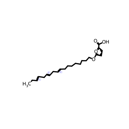 CC/C=C/C/C=C/C/C=C/CCCCCCCCOc1ccc(C(=O)O)o1